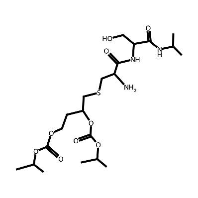 CC(C)NC(=O)C(CO)NC(=O)C(N)CSCC(CCOC(=O)OC(C)C)OC(=O)OC(C)C